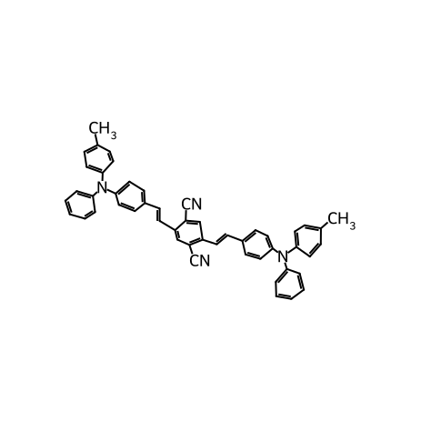 Cc1ccc(N(c2ccccc2)c2ccc(C=Cc3cc(C#N)c(C=Cc4ccc(N(c5ccccc5)c5ccc(C)cc5)cc4)cc3C#N)cc2)cc1